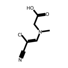 CN(C=C(Cl)C#N)CC(=O)O